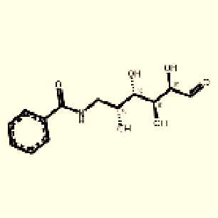 O=C[C@H](O)[C@@H](O)[C@@H](O)[C@H](O)CNC(=O)c1ccccc1